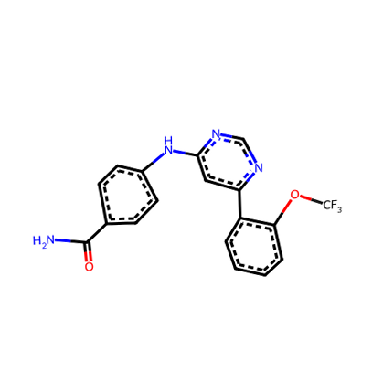 NC(=O)c1ccc(Nc2cc(-c3ccccc3OC(F)(F)F)ncn2)cc1